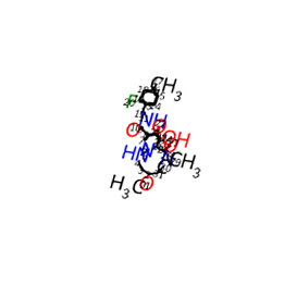 COC1CCNn2cc(C(=O)NCc3ccc(C)cc3F)c(=O)c(O)c2C(=O)N(C)CC1